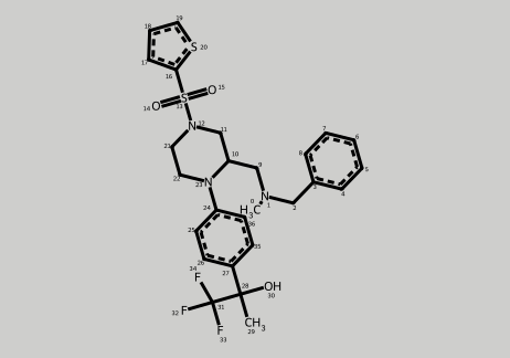 CN(Cc1ccccc1)CC1CN(S(=O)(=O)c2cccs2)CCN1c1ccc(C(C)(O)C(F)(F)F)cc1